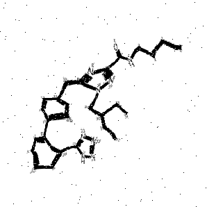 CCCCNC(=O)c1nc(Cc2ccc(-c3ccccc3-c3nnn[nH]3)cc2)n(CC(CC)CC)n1